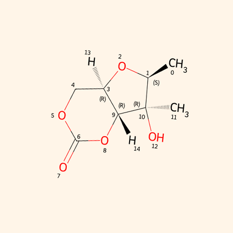 C[C@@H]1O[C@@H]2COC(=O)O[C@H]2[C@]1(C)O